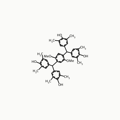 COc1cc(C(c2cc(C)c(O)c(C)c2)c2cc(C)c(O)c(C)c2)c(OC)cc1C(c1cc(C)c(O)c(C)c1)c1cc(C)c(O)c(C)c1